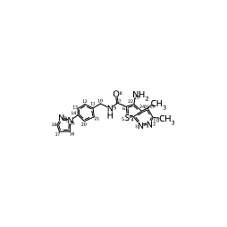 Cc1nnc2sc(C(=O)NCc3ccc(-n4cccn4)cc3)c(N)c2c1C